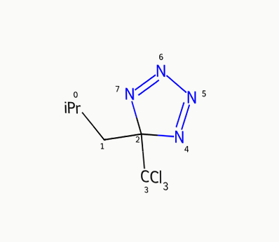 CC(C)CC1(C(Cl)(Cl)Cl)N=NN=N1